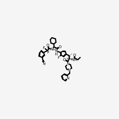 CCC(=O)N[C@@H](C(=O)N1CCN(Cc2ccccn2)CC1)[C@@H](C)c1ccc(NC(=O)C(NC(=O)C(F)(F)c2cccc(C#N)c2)C2CCCCC2)c(F)c1